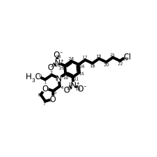 CCCN(CC1OCCO1)c1c([N+](=O)[O-])cc(CCCCCCCl)cc1[N+](=O)[O-]